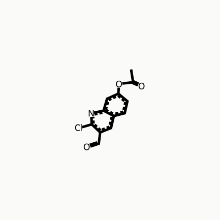 CC(=O)Oc1ccc2cc(C=O)c(Cl)nc2c1